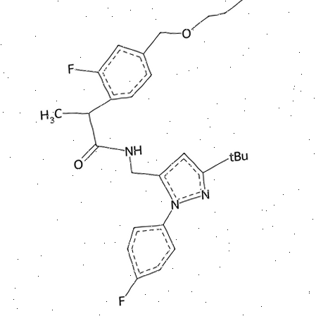 CC(C(=O)NCc1cc(C(C)(C)C)nn1-c1ccc(F)cc1)c1ccc(COCCO)cc1F